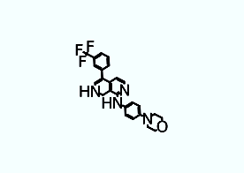 FC(F)(F)c1cccc(C2=CNCc3c2ccnc3Nc2ccc(N3CCOCC3)cc2)c1